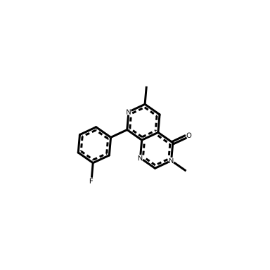 Cc1cc2c(=O)n(C)cnc2c(-c2cccc(F)c2)n1